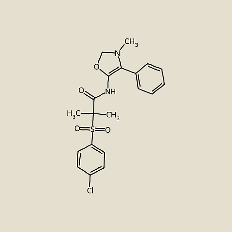 CN1COC(NC(=O)C(C)(C)S(=O)(=O)c2ccc(Cl)cc2)=C1c1ccccc1